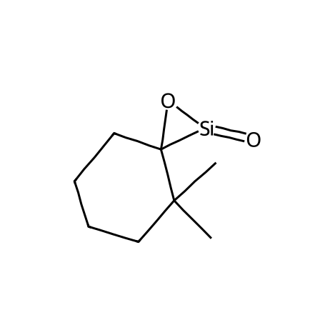 CC1(C)CCCCC12O[Si]2=O